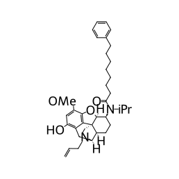 C=CCN1CC[C@]23c4c5c(O)cc(OC)c4O[C@H]2[C@@H](N(C(=O)CCCCCCCc2ccccc2)C(C)C)CC[C@H]3[C@H]1C5